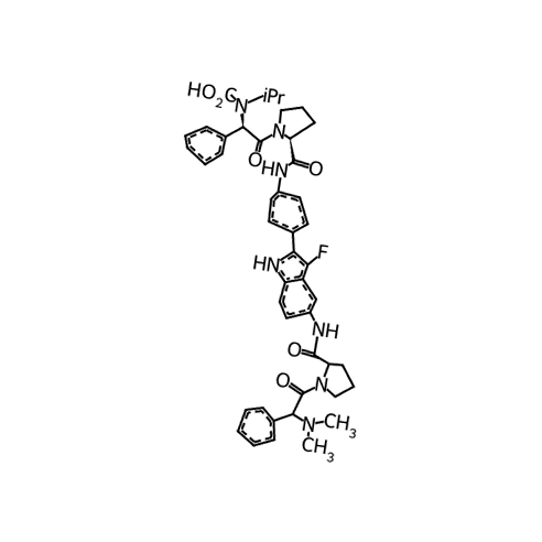 CC(C)N(C(=O)O)[C@@H](C(=O)N1CCC[C@H]1C(=O)Nc1ccc(-c2[nH]c3ccc(NC(=O)C4CCCN4C(=O)C(c4ccccc4)N(C)C)cc3c2F)cc1)c1ccccc1